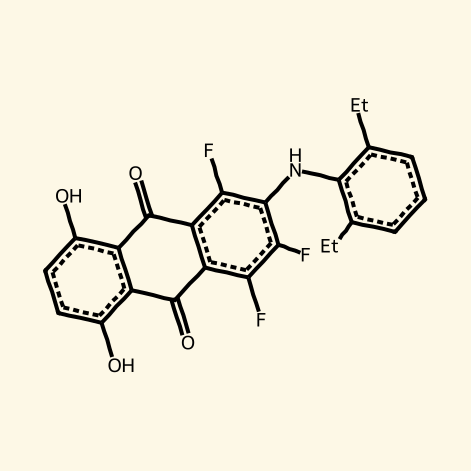 CCc1cccc(CC)c1Nc1c(F)c(F)c2c(c1F)C(=O)c1c(O)ccc(O)c1C2=O